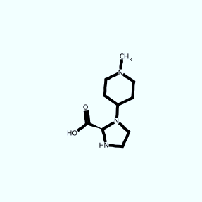 CN1CCC(N2CCN[C@H]2C(=O)O)CC1